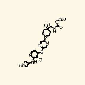 CC1(CNC(=O)OC(C)(C)C)CCN(c2cnc(Sc3ccnc(NC4CNC4)c3Cl)cn2)CC1